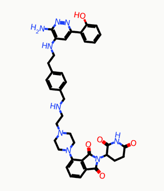 Nc1nnc(-c2ccccc2O)cc1NCCc1ccc(CNCCN2CCN(c3cccc4c3C(=O)N(C3CCC(=O)NC3=O)C4=O)CC2)cc1